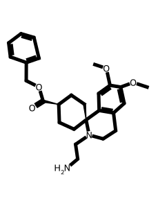 COc1cc2c(cc1OC)[C@]1(CC[C@H](C(=O)OCc3ccccc3)CC1)N(CCN)CC2